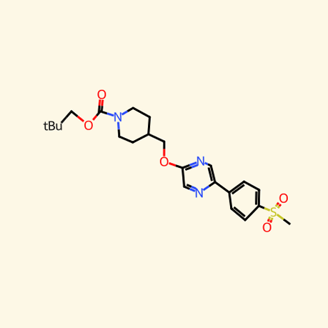 CC(C)(C)COC(=O)N1CCC(COc2cnc(-c3ccc(S(C)(=O)=O)cc3)cn2)CC1